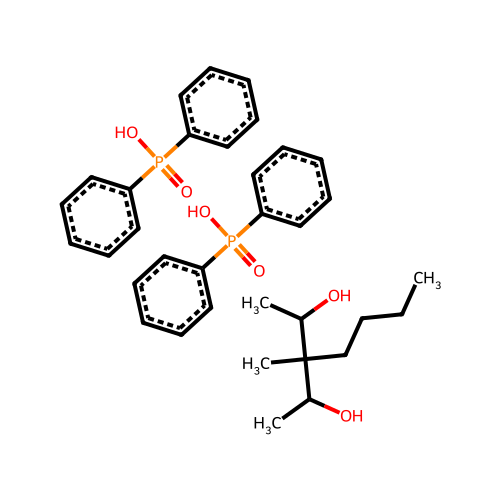 CCCCC(C)(C(C)O)C(C)O.O=P(O)(c1ccccc1)c1ccccc1.O=P(O)(c1ccccc1)c1ccccc1